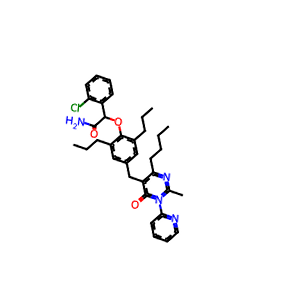 CCCCc1nc(C)n(-c2ccccn2)c(=O)c1Cc1cc(CCC)c(OC(C(N)=O)c2ccccc2Cl)c(CCC)c1